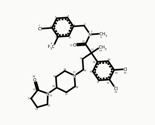 CN(Cc1ccc(Cl)c(C(F)(F)F)c1)C(=O)C(C)(CCN1CCC(N2CCCC2=O)CC1)c1ccc(Cl)c(Cl)c1